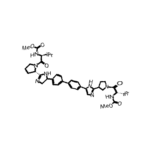 COC(=O)N[C@H](C(=O)N1CCC(c2ncc(-c3ccc(-c4ccc(C5CN=C([C@@H]6CCCN6C(=O)[C@@H](NC(=O)OC)C(C)C)N5)cc4)cc3)[nH]2)C1)C(C)C